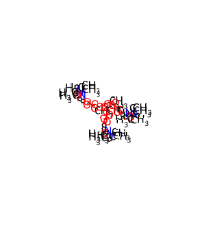 CC(COCC(COCC(C)OC(=O)CCC(=O)Oc1ccc2ccc3c(c2c1)N=CC1(O3)N(CC(C)(C)C)c2ccccc2C1(C)C)OCC(C)OC(=O)CCC(=O)Oc1ccc2ccc3c(c2c1)N=CC1(O3)N(CC(C)(C)C)c2ccccc2C1(C)C)OC(=O)CCC(=O)Oc1ccc2ccc3c(c2c1)N=CC1(O3)N(CC(C)(C)C)c2ccccc2C1(C)C